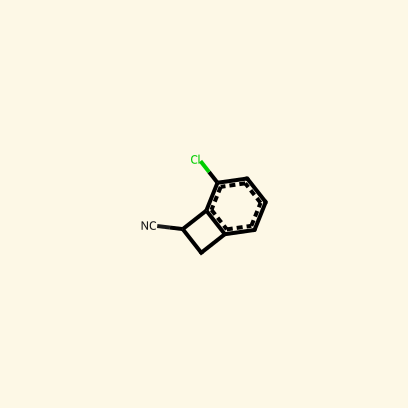 N#CC1Cc2cccc(Cl)c21